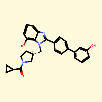 O=C(C1CC1)N1CC[C@H](Cn2c(-c3ccc(-c4cccc(O)c4)cc3)nc3cccc(Br)c32)C1